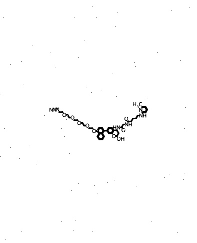 Cc1cccc(NCCCCC(=O)NCC(=O)NC(CC(=O)O)c2ccc(-c3ccc(OCCOCCOCCOCCOCCN=[N+]=[N-])c4ccccc34)cc2)n1